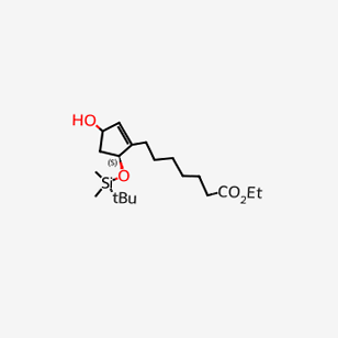 CCOC(=O)CCCCCCC1=CC(O)C[C@@H]1O[Si](C)(C)C(C)(C)C